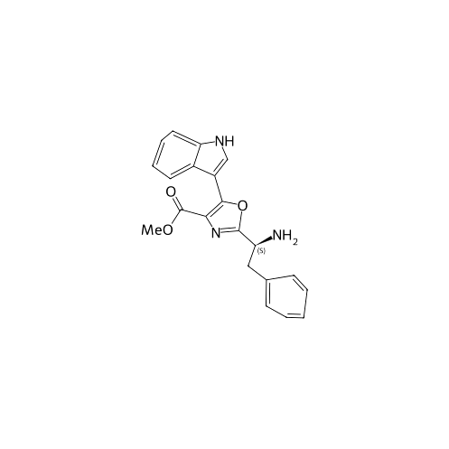 COC(=O)c1nc([C@@H](N)Cc2ccccc2)oc1-c1c[nH]c2ccccc12